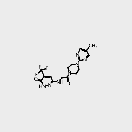 Cc1cnc(N2CCN(C(=O)CNc3cc(C(F)(F)F)c(=O)[nH]n3)CC2)nc1